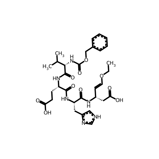 CCO/C=C/[C@H](CC(=O)O)NC(=O)[C@H](Cc1c[nH]cn1)NC(=O)[C@H](CCC(=O)O)NC(=O)[C@@H](NC(=O)OCc1ccccc1)C(C)C